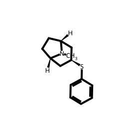 CN1[C@@H]2CC[C@H]1C[C@H](Sc1ccccc1)C2